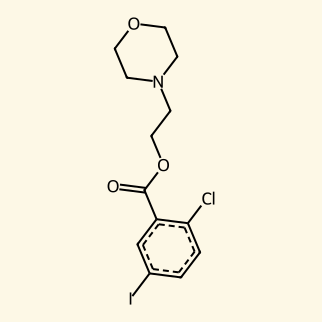 O=C(OCCN1CCOCC1)c1cc(I)ccc1Cl